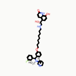 O=C(O)N(C(c1cccc(F)c1)c1cccc(OCCCCCCCCCNC[C@H](O)c2ccc(O)c3[nH]c(=O)ccc23)c1)[C@H]1CN2CCC1CC2